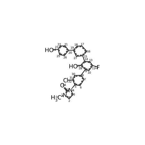 Cn1ccn(-c2ccc(-c3cc(F)cc(-c4cccc(-c5ccc(O)cc5)c4)c3O)cc2Cl)c1=O